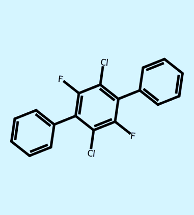 Fc1c(Cl)c(-c2ccccc2)c(F)c(Cl)c1-c1ccccc1